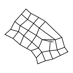 B1C23C4C5CC6C7C8C9C%10CC%11C%12C%13CC%14C%15C%16C%17C%18CC4C%182C%172C14C7(C563)C81C93C%11%10C%125C%13%14C%156C%162C41C536